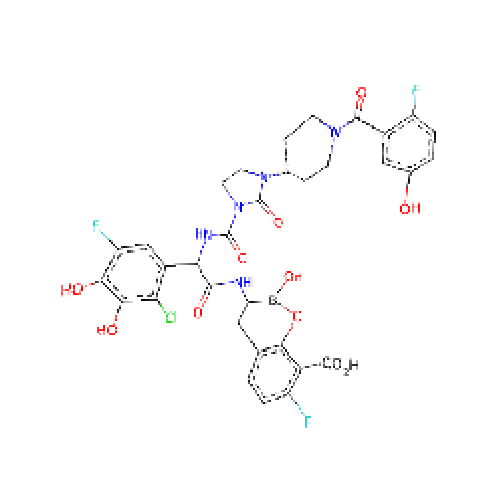 O=C(O)c1c(F)ccc2c1OB(O)C(NC(=O)C(NC(=O)N1CCN(C3CCN(C(=O)c4cc(O)ccc4F)CC3)C1=O)c1cc(F)c(O)c(O)c1Cl)C2